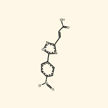 O=C(O)/C=C/c1noc(-c2ccc([N+](=O)[O-])cc2)n1